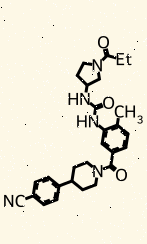 CCC(=O)N1CCC(NC(=O)Nc2cc(C(=O)N3CCC(c4ccc(C#N)cc4)CC3)ccc2C)C1